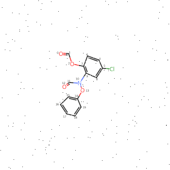 O=COc1ccc(Cl)cc1N(C=O)Oc1ccccc1